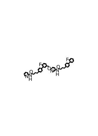 O=C(CCCc1ccc(-c2ccccc2F)cc1)Nc1ccc(OCc2ccc(F)c(-c3ccc(CCCC(=O)Nc4ccccn4)cc3)c2)nc1